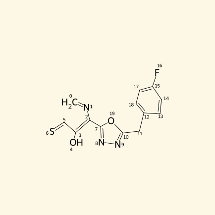 C=N/C(=C(/O)C=S)c1nnc(Cc2ccc(F)cc2)o1